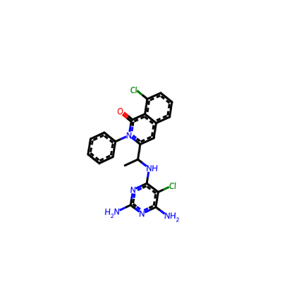 CC(Nc1nc(N)nc(N)c1Cl)c1cc2cccc(Cl)c2c(=O)n1-c1ccccc1